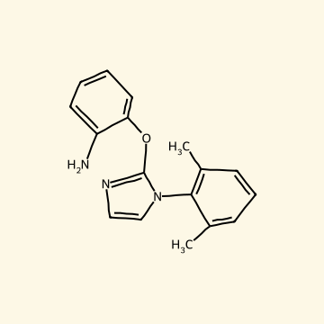 Cc1cccc(C)c1-n1ccnc1Oc1ccccc1N